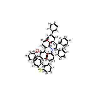 c1ccc(-c2cccc(-c3c(N(c4ccc(-c5cccc6sc7ccccc7c56)cc4)c4ccccc4-c4cccc5c4oc4ccccc45)c4ccccc4c4ccccc34)c2)cc1